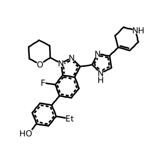 CCc1cc(O)ccc1-c1ccc2c(-c3nc(C4=CCNCC4)c[nH]3)nn(C3CCCCO3)c2c1F